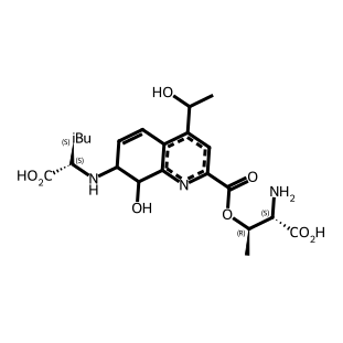 CC[C@H](C)[C@H](NC1C=Cc2c(C(C)O)cc(C(=O)O[C@H](C)[C@H](N)C(=O)O)nc2C1O)C(=O)O